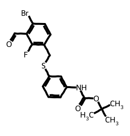 CC(C)(C)OC(=O)Nc1cccc(SCc2ccc(Br)c(C=O)c2F)c1